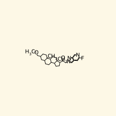 COCC1CCC2(C)C(CCC3C2CCC2(C)C(C(=O)Cn4cc5cc(F)ncc5n4)CCC32)C1